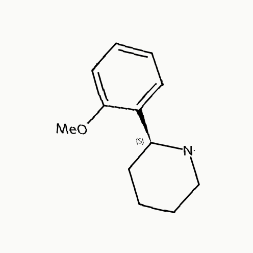 COc1ccccc1[C@@H]1CCCC[N]1